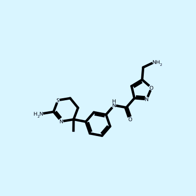 CC1(c2cccc(NC(=O)c3cc(CN)on3)c2)CCSC(N)=N1